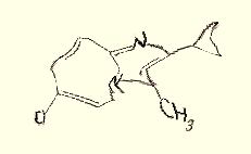 Cc1c(C2CC2)nc2ccc(Cl)cn12